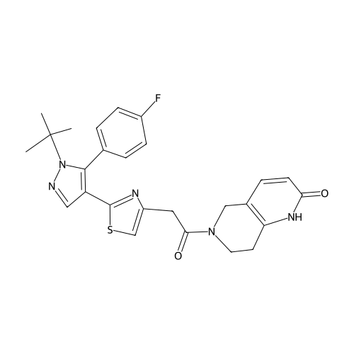 CC(C)(C)n1ncc(-c2nc(CC(=O)N3CCc4[nH]c(=O)ccc4C3)cs2)c1-c1ccc(F)cc1